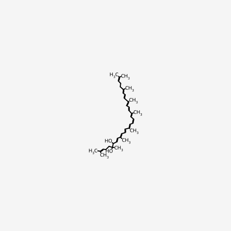 CC(C)=CCC/C(C)=C/C=C/C(C)=C/C=C/C(C)=C/C=C\C=C(C)\C=C\C=C(C)\C=C\C(O)C(C)(O)CCC=C(C)C